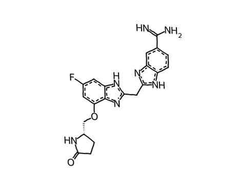 N=C(N)c1ccc2[nH]c(Cc3nc4c(OC[C@@H]5CCC(=O)N5)cc(F)cc4[nH]3)nc2c1